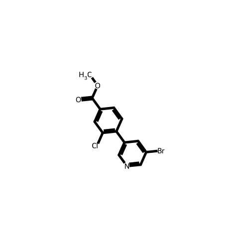 COC(=O)c1ccc(-c2cncc(Br)c2)c(Cl)c1